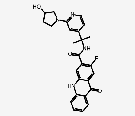 CC(C)(NC(=O)c1cc2[nH]c3ccccc3c(=O)c2cc1F)c1ccnc(N2CCC(O)C2)c1